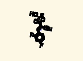 CC(C)(C)/C(=C\c1ccc(F)cc1F)C(=O)OC(=O)O